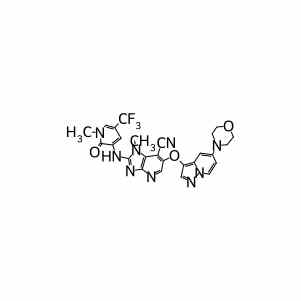 Cn1cc(C(F)(F)F)cc(Nc2nc3ncc(Oc4cnn5ccc(N6CCOCC6)cc45)c(C#N)c3n2C)c1=O